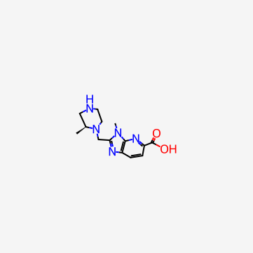 C[C@H]1CNCCN1Cc1nc2ccc(C(=O)O)nc2n1C